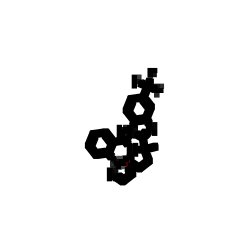 CC1(c2nc3cc(C(F)(F)F)ccc3[nH]2)CCCN1C(=O)c1ccccc1-n1nccn1